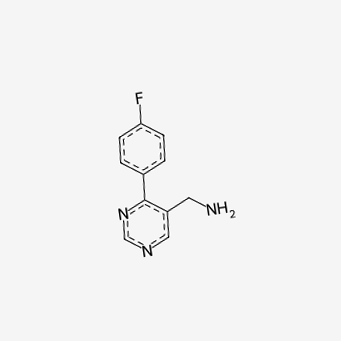 NCc1cncnc1-c1ccc(F)cc1